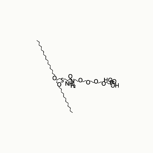 CCCCCCCCCCCCCCCCO[C@H](COCCCCCCCCCCCC)CSC[C@H](N)C(=O)NCCOCCOCCOCCOCCP(=O)(O)O